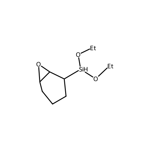 CCO[SiH](OCC)C1CCCC2OC21